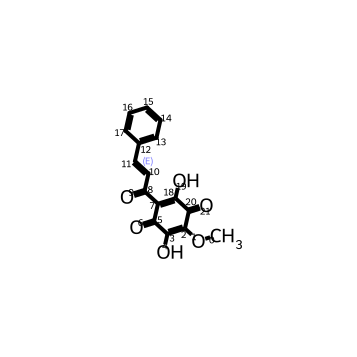 COC1=C(O)C(=O)C(C(=O)/C=C/c2ccccc2)=C(O)C1=O